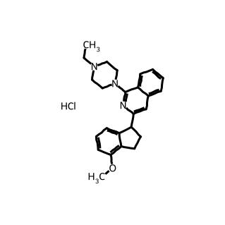 CCN1CCN(c2nc(C3CCc4c(OC)cccc43)cc3ccccc23)CC1.Cl